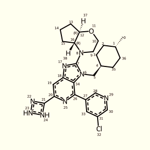 C[C@H]1CC[C@H](Cn2c(N3CCO[C@@H]4CCC[C@H]43)nc3cc(-c4n[nH][nH]4)nc(-c4cncc(Cl)c4)c32)CC1